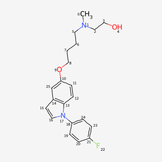 CN(CCO)CCCCOc1ccc2c(ccn2-c2ccc(F)cc2)c1